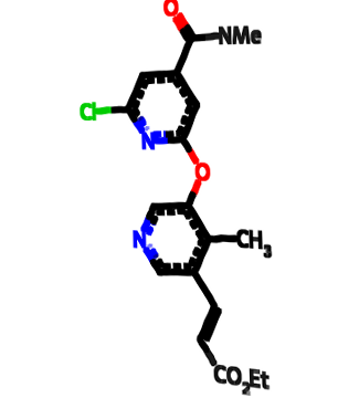 CCOC(=O)/C=C/c1cncc(Oc2cc(C(=O)NC)cc(Cl)n2)c1C